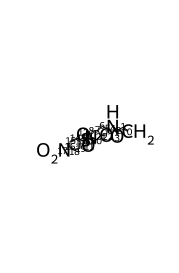 C=CC(=O)NC1CC2CN(S(=O)(=O)c3ccc([N+](=O)[O-])cc3)CC2O1